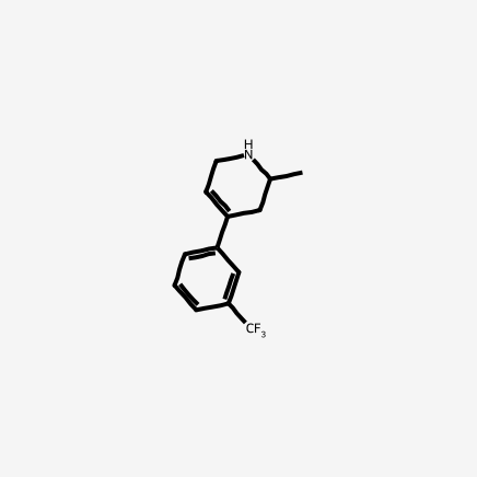 CC1CC(c2cccc(C(F)(F)F)c2)=CCN1